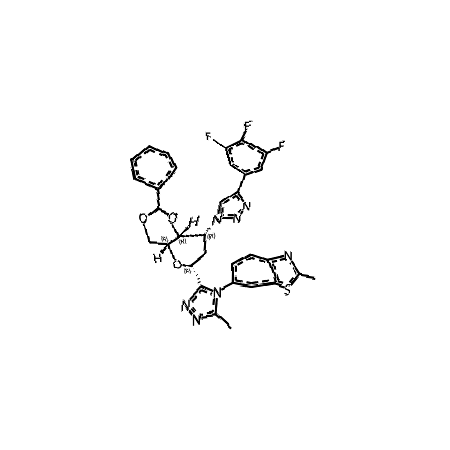 Cc1nc2ccc(-n3c(C)nnc3[C@H]3C[C@@H](n4cc(-c5cc(F)c(F)c(F)c5)nn4)[C@H]4OC(c5ccccc5)OC[C@H]4O3)cc2s1